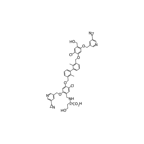 Cc1c(COc2cc(OCc3cncc(C4=NC4)c3)c(CO)cc2Cl)cccc1-c1cccc(COc2cc(OCc3cncc(C4=NC4)c3)c(CN[C@H](CCO)C(=O)O)cc2Cl)c1C